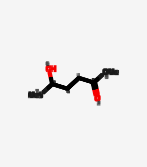 COC(=O)CCC(O)SC